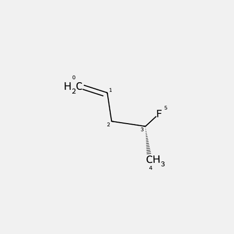 C=CC[C@@H](C)F